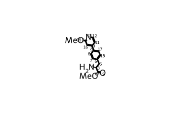 COC(=O)[C@@H](N)Cc1ccc(-c2ccnc(OC)c2)cc1